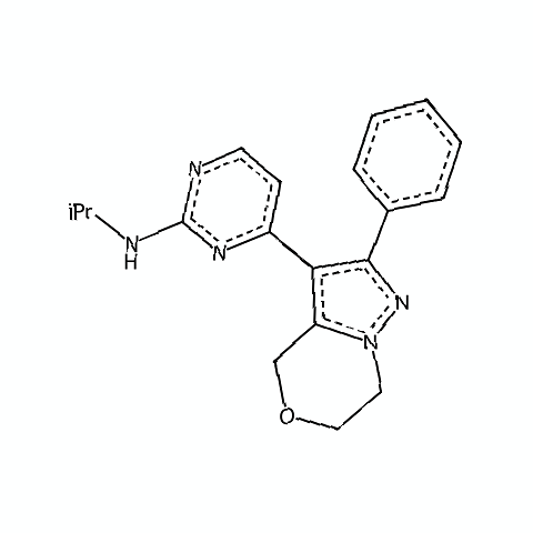 CC(C)Nc1nccc(-c2c(-c3ccccc3)nn3c2COCC3)n1